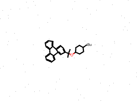 CCC(C)C1CCC(OC(C)(C)c2ccc3c4ccccc4c4ccccc4c3c2)CC1